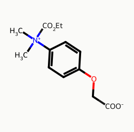 CCOC(=O)[N+](C)(C)c1ccc(OCC(=O)[O-])cc1